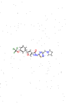 O=C(Nc1nc(CN2CCCC2)ns1)c1coc(-c2cccc(OC(F)(F)F)c2)c1